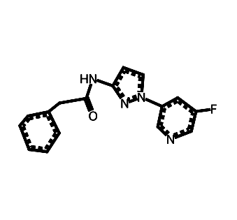 O=C(Cc1ccccc1)Nc1ccn(-c2cncc(F)c2)n1